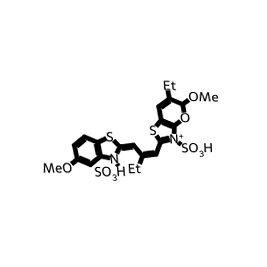 CCC(=Cc1sc2c([n+]1S(=O)(=O)O)OC(OC)C(CC)=C2)C=C1Sc2ccc(OC)cc2N1S(=O)(=O)O